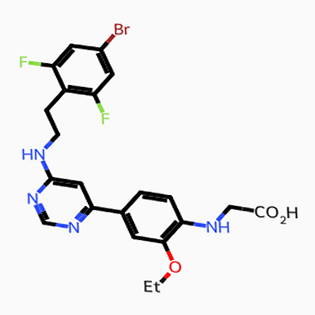 CCOc1cc(-c2cc(NCCc3c(F)cc(Br)cc3F)ncn2)ccc1NCC(=O)O